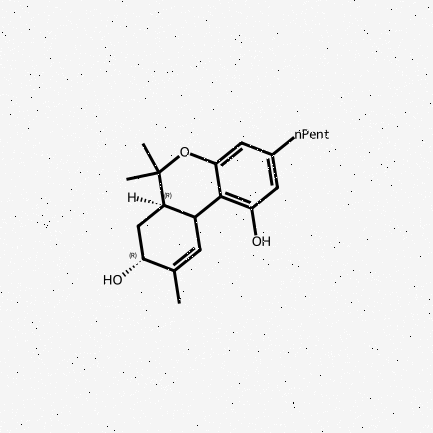 CCCCCc1cc(O)c2c(c1)OC(C)(C)[C@@H]1C[C@@H](O)C(C)=CC21